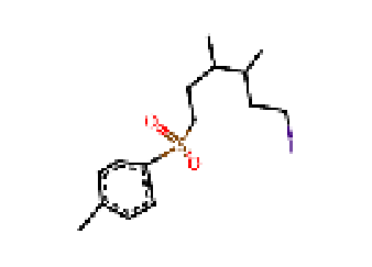 Cc1ccc(S(=O)(=O)CCC(C)C(C)CCI)cc1